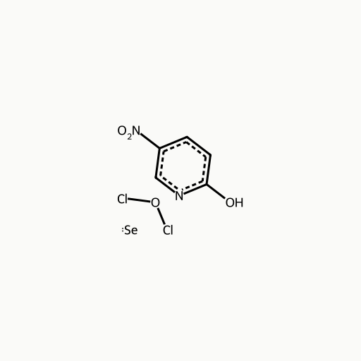 ClOCl.O=[N+]([O-])c1ccc(O)nc1.[Se]